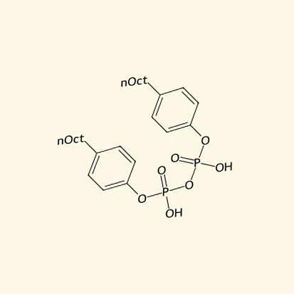 CCCCCCCCc1ccc(OP(=O)(O)OP(=O)(O)Oc2ccc(CCCCCCCC)cc2)cc1